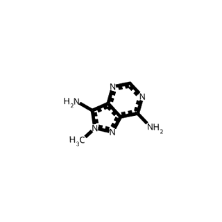 Cn1nc2c(N)ncnc2c1N